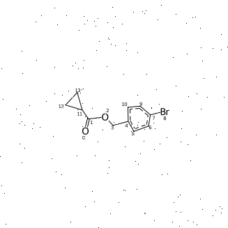 O=C(OCc1ccc(Br)cc1)C1CC1